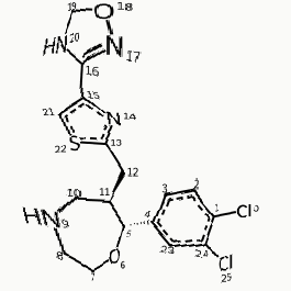 Clc1ccc([C@@H]2OCCNC[C@H]2Cc2nc(C3=NOCN3)cs2)cc1Cl